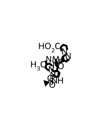 CNCC1(C)CCN(c2nc(NS(=O)(=O)C3CC3)ccc2-c2nnc(-c3ccnc(N4CCCC(C(=O)O)C4)c3)o2)CC1